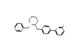 Nc1cccc(-c2ccc(CC3CCCCN3Cc3ccccc3)cc2)n1